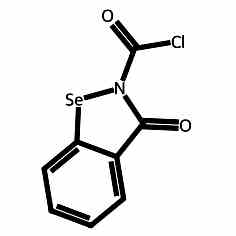 O=C(Cl)n1[se]c2ccccc2c1=O